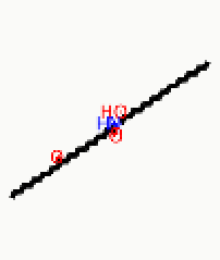 CCCCCCCCCCCCCCCCCC[C@@H](O)CNC(=O)CCCCCCCCCCC(=O)CCCCCCCCCCC